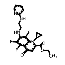 CCOC(=O)c1cc(=O)c2c(F)c(F)c(NCCNc3ccccn3)c(F)c2n1C1CC1